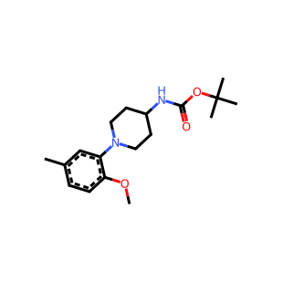 COc1ccc(C)cc1N1CCC(NC(=O)OC(C)(C)C)CC1